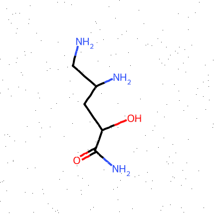 NCC(N)CC(O)C(N)=O